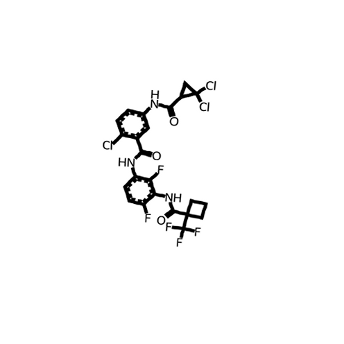 O=C(Nc1ccc(F)c(NC(=O)C2(C(F)(F)F)CCC2)c1F)c1cc(NC(=O)C2CC2(Cl)Cl)ccc1Cl